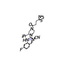 CC(C)C1CN(C(=O)CCc2nccs2)CCN1/C(=N\C#N)Nc1cc(F)ccc1F